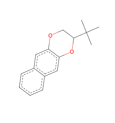 CC(C)(C)C1COc2cc3ccccc3cc2O1